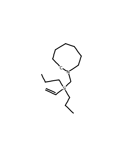 C=C[Si](CCC)(CCC)CN1CCCCCCC1